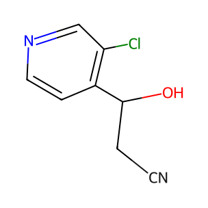 N#CCC(O)c1ccncc1Cl